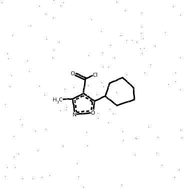 Cc1noc(C2CCCCC2)c1C(=O)Cl